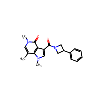 Cc1cn(C)c(=O)c2c(C(=O)N3CC(c4ccccc4)C3)cn(C)c12